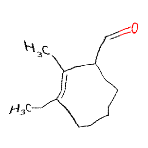 CC1=C(C)C(C=O)CCC1